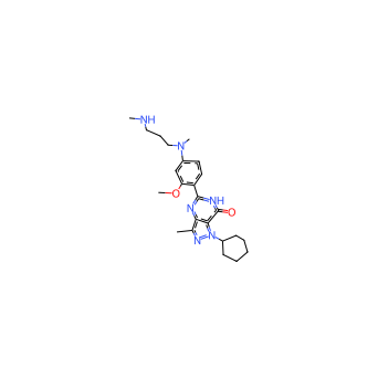 CNCCCN(C)c1ccc(-c2nc3c(C)nn(C4CCCCC4)c3c(=O)[nH]2)c(OC)c1